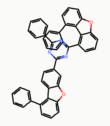 c1ccc(-c2nc(-c3ccc4c(c3)oc3cccc(-c5ccccc5)c34)nc(-c3cccc4oc5cccc(-c6ccccc6)c5c34)n2)cc1